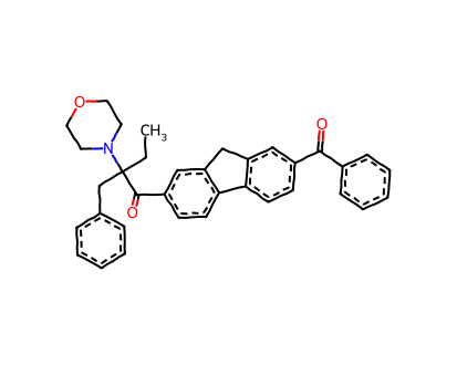 CCC(Cc1ccccc1)(C(=O)c1ccc2c(c1)Cc1cc(C(=O)c3ccccc3)ccc1-2)N1CCOCC1